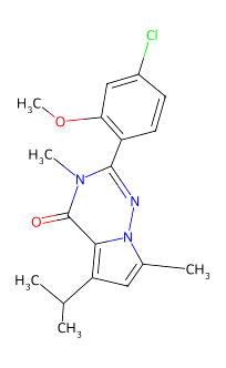 COc1cc(Cl)ccc1-c1nn2c(C)cc(C(C)C)c2c(=O)n1C